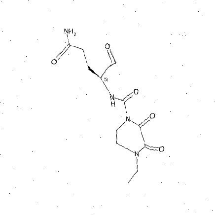 CCN1CCN(C(=O)N[C@H](C=O)CCC(N)=O)C(=O)C1=O